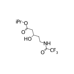 CC(C)OC(=O)CC(O)CCNC(=O)C(F)(F)F